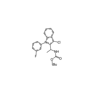 CC(NC(=O)OC(C)(C)C)c1c(Cl)c2ccccc2n1-c1cccc(F)c1